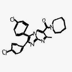 Cc1nc2nc(-c3ccc(Cl)cc3)c(-c3ccc(Cl)cc3)n2cc1C(=O)N1CCCCCC1